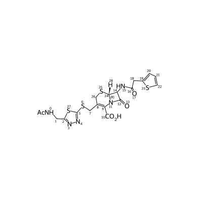 CC(=O)NCc1nnc(SCC2=C(C(=O)O)N3C(=O)C(NC(=O)Cc4cccs4)[C@H]3SC2)s1